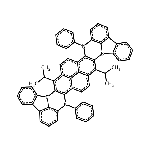 CC(C)c1c2c(c3ccc4c(C(C)C)c5c(c6ccc1c3c46)N(c1ccccc1)c1cccc3c1B5c1ccccc1-3)N(c1ccccc1)c1cccc3c1B2c1ccccc1-3